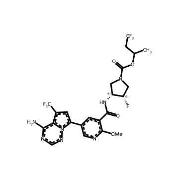 COc1ncc(-c2cc(C(F)(F)F)c3c(N)ncnn23)cc1C(=O)N[C@@H]1CN(C(=O)OC(C)CC(F)(F)F)C[C@@H]1F